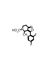 CC1c2c(noc2-c2ccc(F)cc2F)CCN1C(=O)O